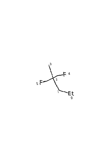 [CH2]CCC(C)(F)F